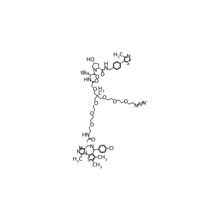 Cc1ncsc1-c1ccc(CNC(=O)[C@@H]2C[C@@H](O)CN2C(=O)[C@@H](NC(=O)COCC(C)(COCCOCCOCCN=[N+]=[N-])COCCOCCOCCNC(=O)C[C@@H]2N=C(c3ccc(Cl)cc3)c3c(sc(C)c3C)-n3c(C)nnc32)C(C)(C)C)cc1